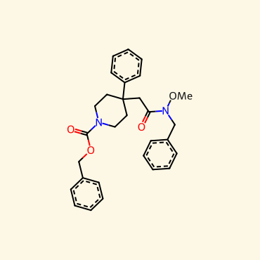 CON(Cc1ccccc1)C(=O)CC1(c2ccccc2)CCN(C(=O)OCc2ccccc2)CC1